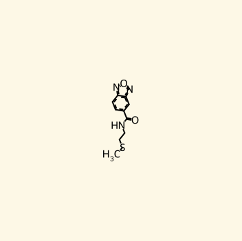 CSCCNC(=O)c1ccc2nonc2c1